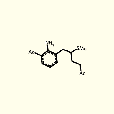 CSC(CCC(C)=O)Cc1cccc(C(C)=O)c1N